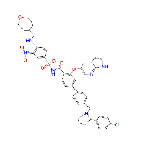 O=C(NS(=O)(=O)c1ccc(NCC2CCOCC2)c([N+](=O)[O-])c1)c1ccc(-c2ccc(CN3CCCC3c3ccc(Cl)cc3)cc2)cc1Oc1cnc2[nH]ccc2c1